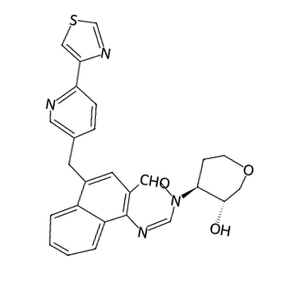 CN(/C=N\c1c(C=O)cc(Cc2ccc(-c3cscn3)nc2)c2ccccc12)[C@H]1CCOC[C@@H]1O